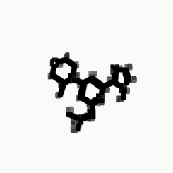 CC1COCCN1c1cc(N=S(C)C)nc(-c2nccn2C)c1